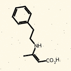 C/C(=C/C(=O)O)NCCc1ccccc1